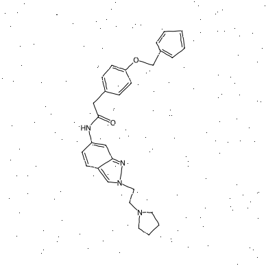 O=C(Cc1ccc(OCc2ccccc2)cc1)Nc1ccc2cn(CCN3CCCC3)nc2c1